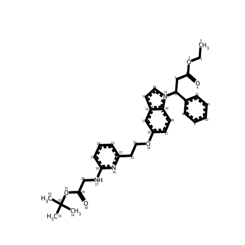 CCOC(=O)CC(c1ccccc1)n1ccc2cc(OCCc3cccc(NCC(=O)OC(C)(C)C)n3)ccc21